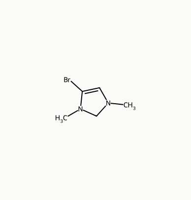 CN1C=C(Br)N(C)C1